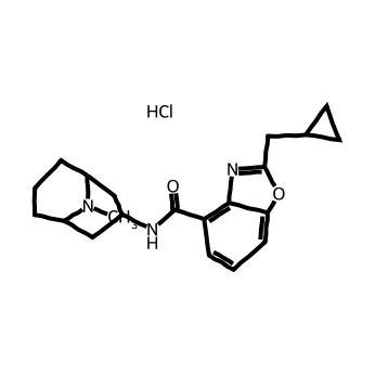 CN1C2CCCC1CC(NC(=O)c1cccc3oc(CC4CC4)nc13)C2.Cl